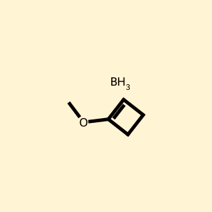 B.COC1=CCC1